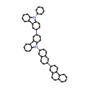 c1ccc(-n2c3ccccc3c3cc(-c4ccc5c(c4)c4ccccc4n5-c4ccc5cc(-c6ccc7c(ccc8ccccc87)c6)ccc5c4)ccc32)cc1